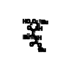 CCC(C)[C@H](NC(=O)[C@@H](NC(=O)OC(C)(C)C)C(C)CC)C(=O)O